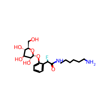 NCCCCCCNC(=O)C(F)c1ccccc1O[C@H]1O[C@H](CO)[C@@H](O)[C@H](O)[C@H]1O